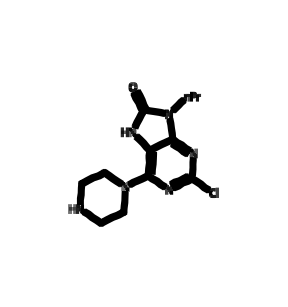 CCCn1c(=O)[nH]c2c(N3CCNCC3)nc(Cl)nc21